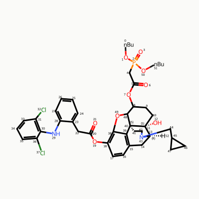 CCCCOP(=O)(CC(=O)OC1CC[C@@]2(O)[C@H]3Cc4ccc(OC(=O)Cc5ccccc5Nc5c(Cl)cccc5Cl)c5c4[C@@]2(CCN3CC2CC2)C1O5)OCCCC